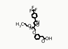 CCCON=C(COc1cccc(CC(=O)O)c1)c1cc(-c2ccc(C(F)(F)F)cc2)no1